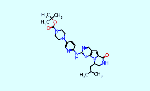 CC(C)CC1CNC(=O)c2cc3cnc(Nc4ccc(N5CCN(C(=O)OC(C)(C)C)CC5)cn4)nc3n21